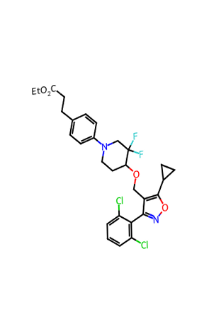 CCOC(=O)CCc1ccc(N2CCC(OCc3c(-c4c(Cl)cccc4Cl)noc3C3CC3)C(F)(F)C2)cc1